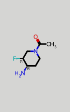 CC(=O)N1CC[C@@H](N)[C@@H](F)C1